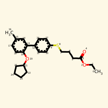 CCOC(=O)CCCSc1ccc(-c2cc(C)ccc2OC2CCCC2)cc1